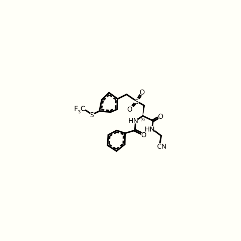 N#CCNC(=O)[C@H](CS(=O)(=O)Cc1ccc(SC(F)(F)F)cc1)NC(=O)c1ccccc1